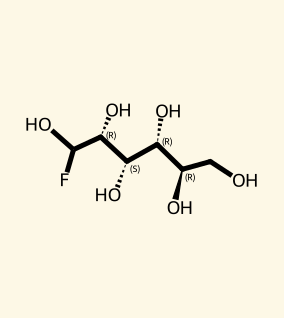 OC[C@@H](O)[C@@H](O)[C@H](O)[C@@H](O)C(O)F